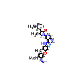 CNc1ccc(Oc2cc(F)c(Nc3ncnc4cnc(N5CC(C)/C(=C\CN(C)C)C5=O)cc34)cc2C)cc1N=N